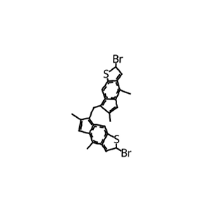 CC1=Cc2c(C)c3c(cc2=C1CC1=c2cc4c(c(C)c2C=C1C)=CC(Br)S4)SC(Br)C=3